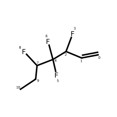 C=CC(F)C(F)(F)C(F)CC